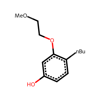 CCCCc1ccc(O)cc1OCCOC